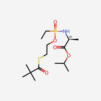 CCP(=O)(N[C@@H](C)C(=O)OC(C)C)OCCSC(=O)C(C)(C)C